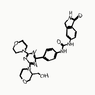 O=C(Nc1ccc(-c2nc(N3CCOCC3)nc(N3CCOCC3CO)n2)cc1)Nc1ccc2c(c1)CNC2=O